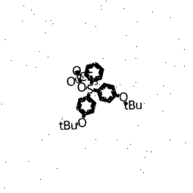 CC(C)(C)Oc1ccc(S(OS(=O)(=O)C(F)(F)F)(c2ccccc2)c2ccc(OC(C)(C)C)cc2)cc1